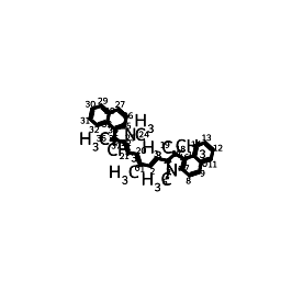 CC(C=CC1=[N+](C)c2ccc3ccccc3c2C1(C)C)=CC=C1N(C)c2ccc3ccccc3c2C1(C)C